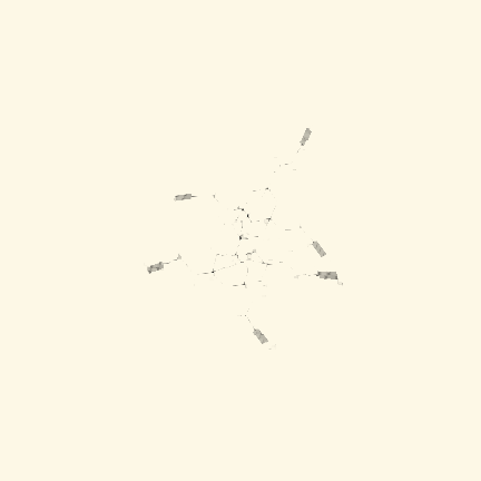 C#CCOC12CC3(OCC#C)CC(OCC#C)(C1)CC(C14CC5(OCC#C)CC(OCC#C)(CC(OCC#C)(C5)C1)C4)(C2)C3